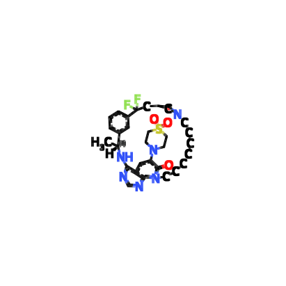 C[C@H]1Nc2ncnc3c2cc(N2CCS(=O)(=O)CC2)c(=O)n3CCCCCCCN2CC(C2)CC(F)(F)c2cccc1c2